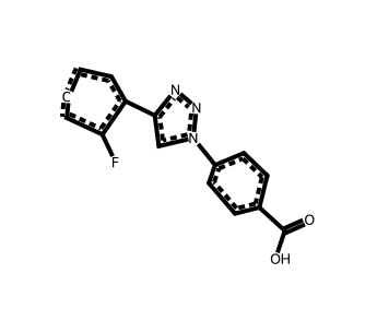 O=C(O)c1ccc(-n2cc(-c3ccccc3F)nn2)cc1